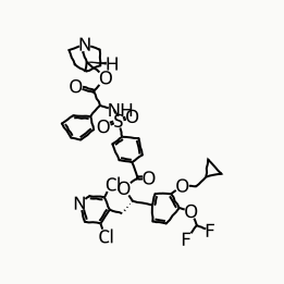 O=C(O[C@@H](Cc1c(Cl)cncc1Cl)c1ccc(OC(F)F)c(OCC2CC2)c1)c1ccc(S(=O)(=O)NC(C(=O)O[C@H]2CN3CCC2CC3)c2ccccc2)cc1